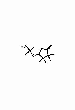 C=C1CC(OC(C)(C)N)C(C)(C)C1(C)C